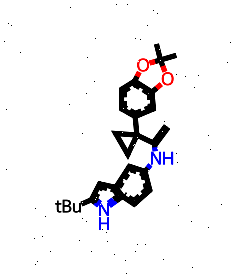 C=C(Nc1ccc2[nH]c(C(C)(C)C)cc2c1)C1(c2ccc3c(c2)OC(C)(C)O3)CC1